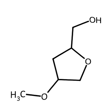 COC1COC(CO)C1